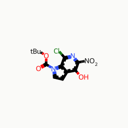 CC(C)(C)OC(=O)n1ccc2c(O)c([N+](=O)[O-])nc(Cl)c21